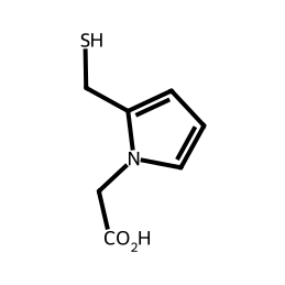 O=C(O)Cn1cccc1CS